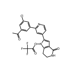 CC(=O)c1cc(Cl)cc(-c2cc(-c3cc4c(n3OC(=O)C(F)(F)F)CCNC4=O)ccn2)c1